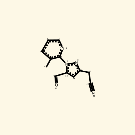 Cc1cccnc1-n1nc(CC#N)cc1C=O